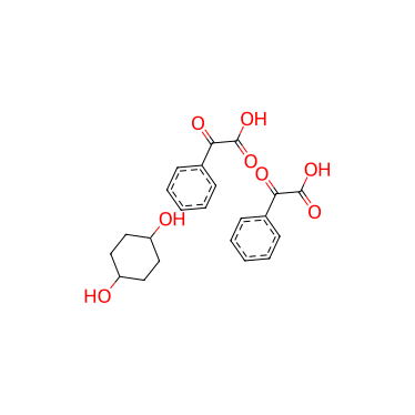 O=C(O)C(=O)c1ccccc1.O=C(O)C(=O)c1ccccc1.OC1CCC(O)CC1